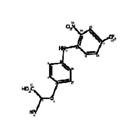 CCCC(Oc1ccc(Nc2ccc(C(F)(F)F)cc2[N+](=O)[O-])cc1)C(=O)O